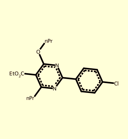 CCCOc1nc(-c2ccc(Cl)cc2)nc(CCC)c1C(=O)OCC